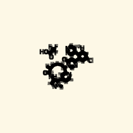 O=C(O)C(F)(F)F.[2H]c1cc(Cl)cc(-c2cc(=O)n(C3CCCC(C)C(=O)Nc4cnn(C)c4-c4ccnc3c4)cn2)c1-c1ccnnc1